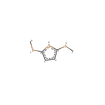 CSc1ccc(SC)s1